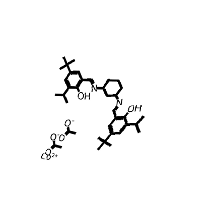 CC(=O)[O-].CC(=O)[O-].CC(C)c1cc(C(C)(C)C)cc(C=NC2CCCC(N=Cc3cc(C(C)(C)C)cc(C(C)C)c3O)C2)c1O.[Co+2]